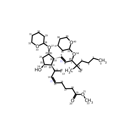 CCCCC(C)(F)[C@@H](/C=C/[C@@H]1[C@@H](C(F)/C=C\CCCC(=O)OC)[C@@H](O)C[C@H]1OC1CCCCO1)OC1CCCCO1